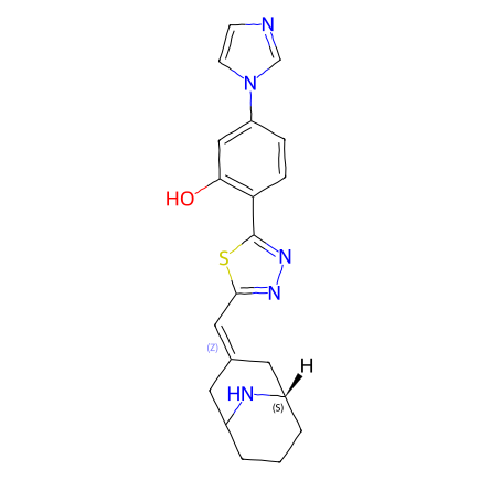 Oc1cc(-n2ccnc2)ccc1-c1nnc(/C=C2/CC3CCC[C@@H](C2)N3)s1